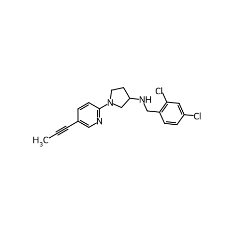 CC#Cc1ccc(N2CCC(NCc3ccc(Cl)cc3Cl)C2)nc1